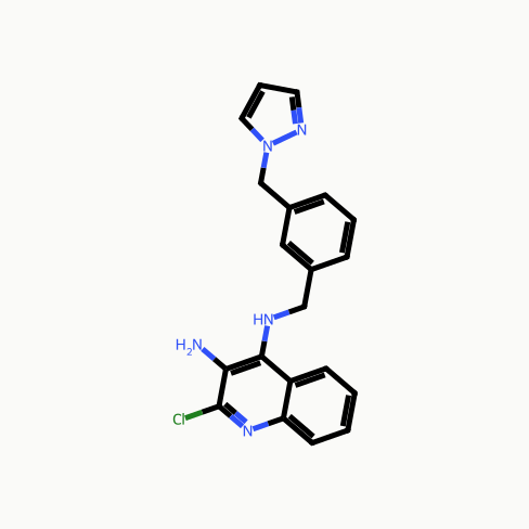 Nc1c(Cl)nc2ccccc2c1NCc1cccc(Cn2cccn2)c1